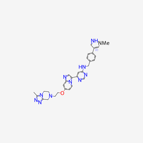 CN/C=C(\C=N)c1ccc(CNc2cc(-c3cnc4cc(OCCN5CCn6c(C)nnc6C5)ccn34)ncn2)cc1